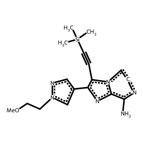 COCCn1cc(-c2nc3c(N)nccn3c2C#C[Si](C)(C)C)cn1